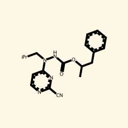 CC(C)CN(NC(=O)OC(C)Cc1ccccc1)c1ccnc(C#N)n1